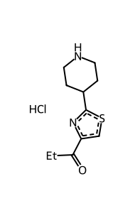 CCC(=O)c1csc(C2CCNCC2)n1.Cl